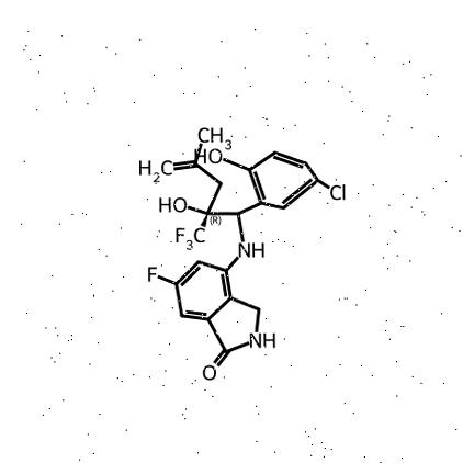 C=C(C)C[C@@](O)(C(Nc1cc(F)cc2c1CNC2=O)c1cc(Cl)ccc1O)C(F)(F)F